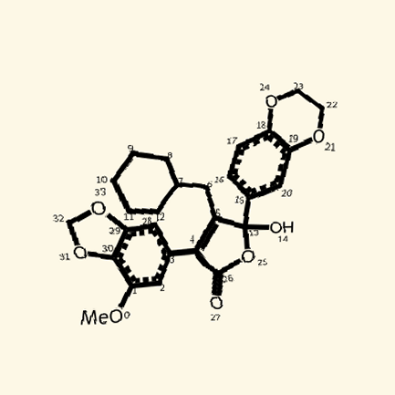 COc1cc(C2=C(CC3CCCCC3)C(O)(c3ccc4c(c3)OCCO4)OC2=O)cc2c1OCO2